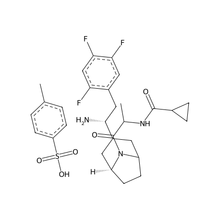 CC(NC(=O)C1CC1)C(=O)N1C2CC[C@H]1CC([C@H](N)Cc1cc(F)c(F)cc1F)C2.Cc1ccc(S(=O)(=O)O)cc1